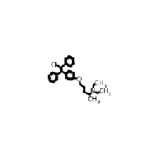 CCN(CC)C(C)CCCOc1ccc(/C(=C(/Cl)c2ccccc2)c2ccccc2)cc1